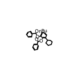 CCCCc1ccc(C2CCCCC2)c(OC(=O)c2ccccc2)c1OC(=O)c1ccccc1